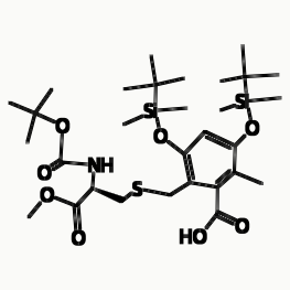 COC(=O)[C@H](CSCc1c(O[Si](C)(C)C(C)(C)C)cc(O[Si](C)(C)C(C)(C)C)c(C)c1C(=O)O)NC(=O)OC(C)(C)C